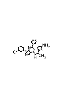 C=C(Nc1nc(-c2ccsc2)nc2c1cnn2-c1cccc(Cl)c1)c1ccc(N)s1